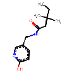 CCC(C)(C)CC(=O)NCc1ccc(O)nc1